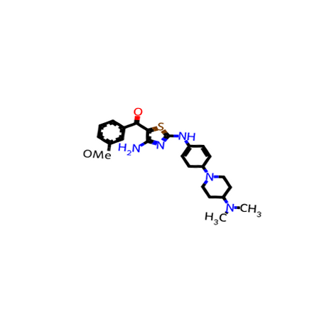 COc1cccc(C(=O)c2sc(NC3=CCC(N4CCC(N(C)C)CC4)C=C3)nc2N)c1